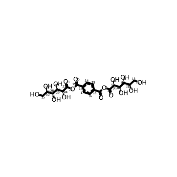 O=C(OC(=O)[C@H](O)[C@@H](O)[C@H](O)[C@H](O)CO)c1ccc(C(=O)OC(=O)[C@H](O)[C@@H](O)[C@H](O)[C@H](O)CO)cc1